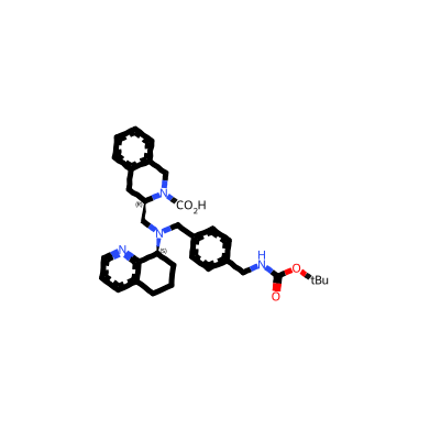 CC(C)(C)OC(=O)NCc1ccc(CN(C[C@H]2Cc3ccccc3CN2C(=O)O)[C@H]2CCCc3cccnc32)cc1